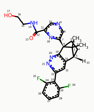 CC1(C)[C@@H]2CC[C@@]1(c1cncc(C(=O)NCCO)n1)c1nnc(-c3c(F)cccc3F)cc12